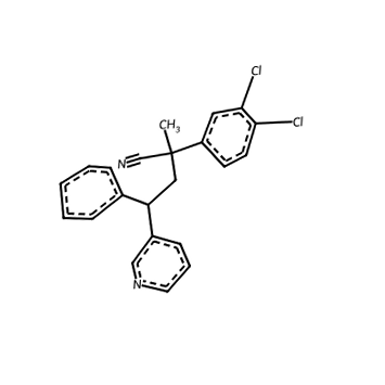 CC(C#N)(CC(c1ccccc1)c1cccnc1)c1ccc(Cl)c(Cl)c1